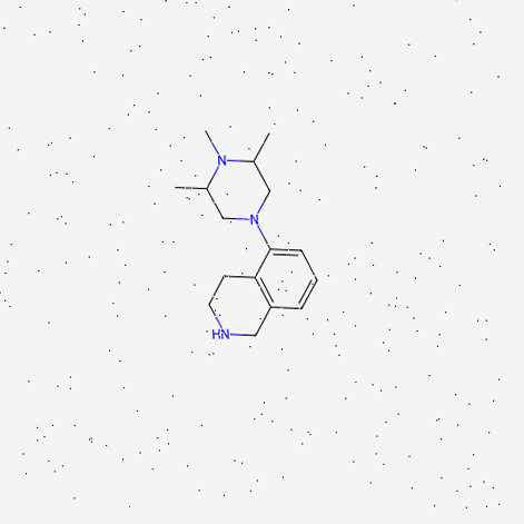 CC1CN(c2cccc3c2CCNC3)CC(C)N1C